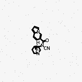 N#CN(C(=O)c1ccc2cccn2c1)[C@H]1CN2CCC1CC2